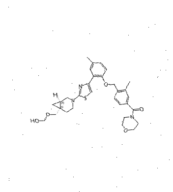 Cc1ccc(OCc2ccc(C(=O)N3CCOCC3)cc2C)c(-c2csc(N3CC[C@@]4(COCO)C[C@H]4C3)n2)c1